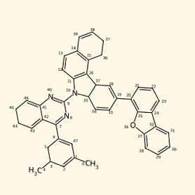 CC1=CC(C)CC(c2nc(N3c4ccc5c(c4C4C=C(c6cccc7c6oc6ccccc67)C=CC43)CCC=C5)nc3c2=CCCC=3)=C1